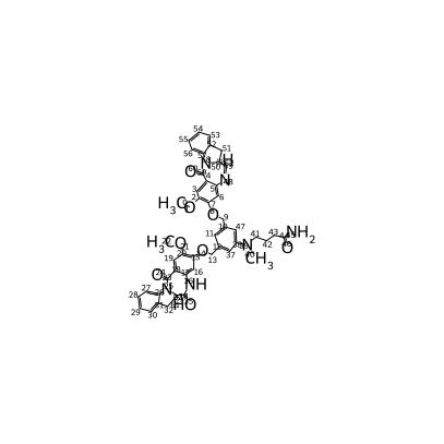 COc1cc2c(cc1OCc1cc(COc3cc4c(cc3OC)C(=O)N3c5ccccc5C[C@H]3C(=O)N4)cc(N(C)CCCC(N)=O)c1)N=C[C@@H]1Cc3ccccc3N1C2=O